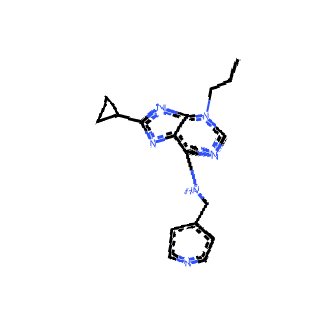 CCCn1cnc(NCc2ccncc2)c2nc(C3CC3)nc1-2